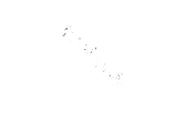 CCC(C)C(=O)OCCCCCCC(=O)OCCCCCC(=O)O